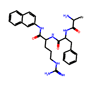 CC(C)C(N)C(=O)NC(Cc1ccccc1)C(=O)NC(CCCNC(=N)N)C(=O)Nc1ccc2ccccc2c1